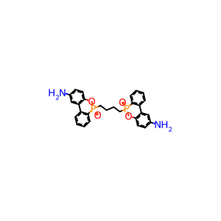 Nc1ccc2c(c1)-c1ccccc1P(=O)(CCCCP1(=O)Oc3ccc(N)cc3-c3ccccc31)O2